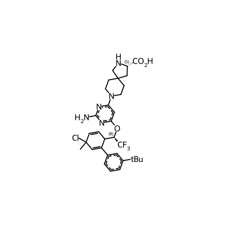 CC1(Cl)C=CC([C@@H](Oc2cc(N3CCC4(CC3)CN[C@H](C(=O)O)C4)nc(N)n2)C(F)(F)F)C(c2cccc(C(C)(C)C)c2)=C1